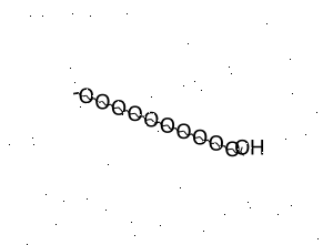 C=CCOCCCOCCCOCCCOCCCOCCCOCCCOCCCOCCCOCCCOCC(C)O